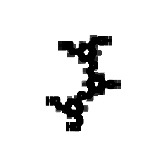 OCC1=CC(CO)CC(OCc2cc(O)cc(COC3=CC(CO)CC(CO)C3)c2)=C1